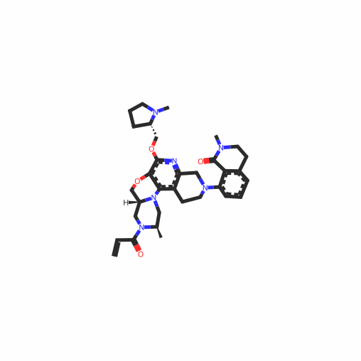 C=CC(=O)N1C[C@@H]2COc3c(OC[C@@H]4CCCN4C)nc4c(c3N2C[C@H]1C)CCN(c1cccc2c1C(=O)N(C)CC2)C4